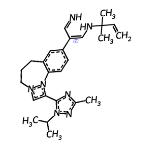 C=CC(C)(C)N/C=C(\C=N)c1ccc2c(c1)CCCn1cc(-c3nc(C)nn3C(C)C)n1-2